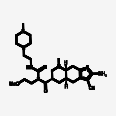 COCCN(C(=O)NCCN1CCN(C)CC1)C(=O)[C@@H]1C[C@@H]2Cc3c(sc(N)c3C#N)C[C@H]2N(C)C1